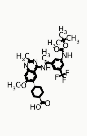 COc1cc2nc(C)nc(N[C@H](C)c3cc(NC(=O)OC(C)(C)C)cc(C(F)(F)F)c3)c2cc1[C@H]1CC[C@H](C(=O)O)CC1